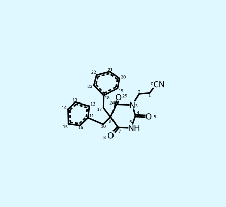 N#CCCN1C(=O)NC(=O)C(Cc2ccccc2)(Cc2ccccc2)C1=O